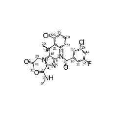 CNC(=O)c1nc(NC(=O)c2cc(F)cc(Cl)c2)c([C@@H](C)c2ccccc2Cl)n1CC(C)=O